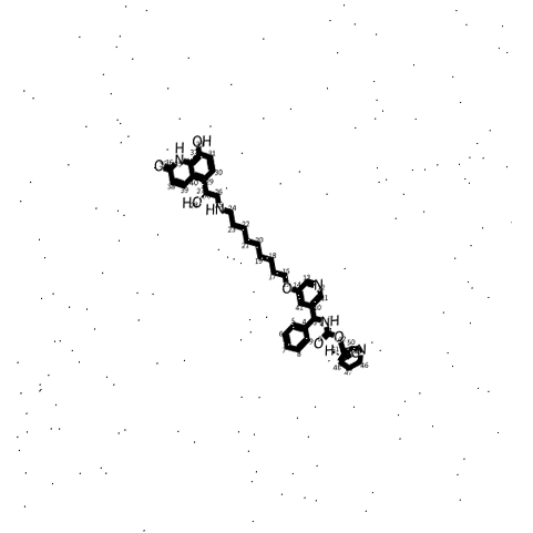 O=C(NC(c1ccccc1)c1cncc(OCCCCCCCCCNC[C@H](O)c2ccc(O)c3[nH]c(=O)ccc23)c1)O[C@H]1CN2CCC1CC2